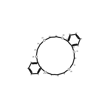 c1ccc2c(c1)OCCCOCCOc1ccccc1OCCOCCO2